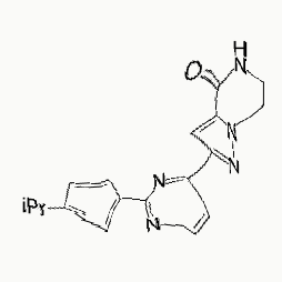 CC(C)c1ccc(-c2nccc(-c3cc4n(n3)CCNC4=O)n2)cc1